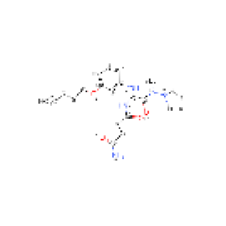 CCN(C(=O)C(NC(=O)CCC(N)=O)Nc1cccc(OCCCC(=O)O)c1)N1CCCC1